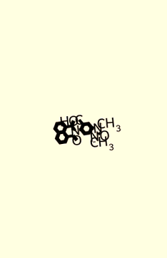 Cc1cc2c(cc1N1C(=O)c3cccc4cccc(c34)C1=O)n(C)c(=O)n2C